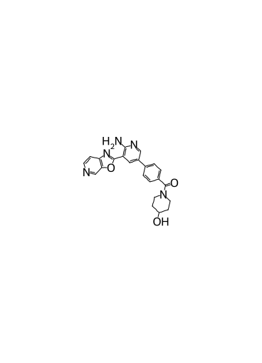 Nc1ncc(-c2ccc(C(=O)N3CCC(O)CC3)cc2)cc1-c1nc2ccncc2o1